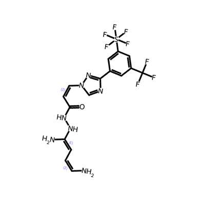 N/C=C\C=C(/N)NNC(=O)/C=C\n1cnc(-c2cc(C(F)(F)F)cc(S(F)(F)(F)(F)F)c2)n1